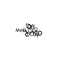 COCC1CCCN1C(C)(C)C(=C(C#N)C(=O)N1CCCCC1)n1cnc2cnccc21